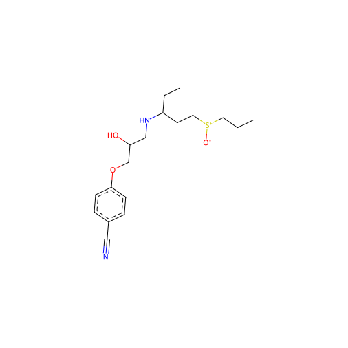 CCC[S+]([O-])CCC(CC)NCC(O)COc1ccc(C#N)cc1